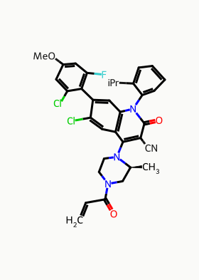 C=CC(=O)N1CCN(c2c(C#N)c(=O)n(-c3ccccc3C(C)C)c3cc(-c4c(F)cc(OC)cc4Cl)c(Cl)cc23)[C@@H](C)C1